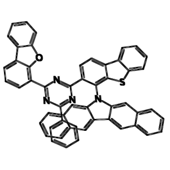 c1ccc(-c2nc(-c3ccc4c(sc5ccccc54)c3-n3c4cc5ccccc5cc4c4cc5ccccc5cc43)nc(-c3cccc4c3oc3ccccc34)n2)cc1